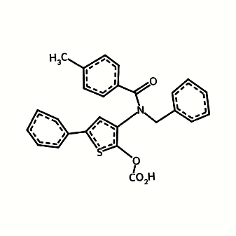 Cc1ccc(C(=O)N(Cc2ccccc2)c2cc(-c3ccccc3)sc2OC(=O)O)cc1